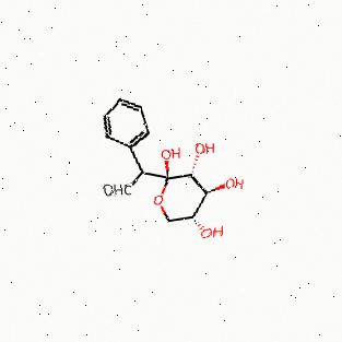 O=CC(c1ccccc1)[C@@]1(O)OC[C@@H](O)[C@H](O)[C@H]1O